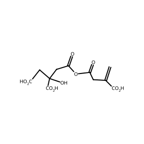 C=C(CC(=O)OC(=O)CC(O)(CC(=O)O)C(=O)O)C(=O)O